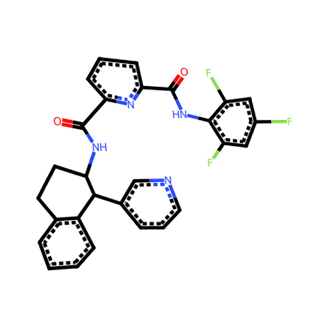 O=C(Nc1c(F)cc(F)cc1F)c1cccc(C(=O)NC2CCc3ccccc3C2c2cccnc2)n1